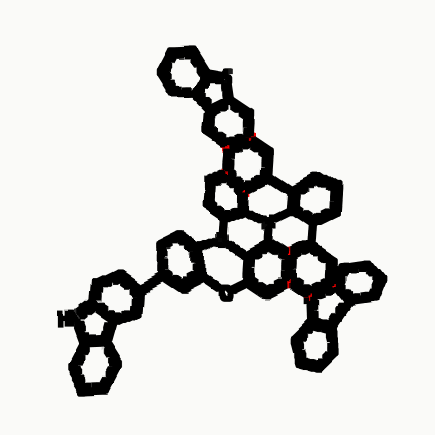 c1ccc(-c2cccc(-c3ccccc3)c2N2c3cc(-c4ccc5sc6ccccc6c5c4)ccc3B3c4ccc(-c5ccc6[nH]c7ccccc7c6c5)cc4Oc4cc(-n5c6ccccc6c6ccccc65)cc2c43)cc1